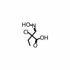 CCC(Cl)(/C=N\O)C(=O)O